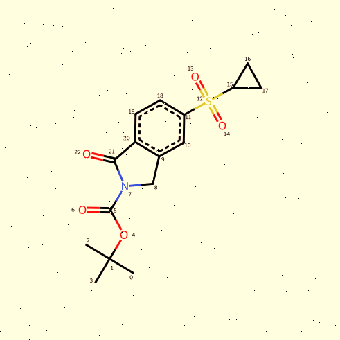 CC(C)(C)OC(=O)N1Cc2cc(S(=O)(=O)C3CC3)ccc2C1=O